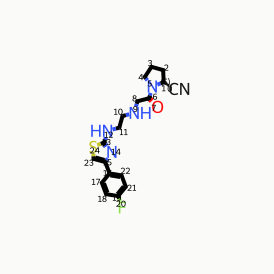 N#C[C@@H]1CCCN1C(=O)CNCCNc1nc(-c2ccc(F)cc2)cs1